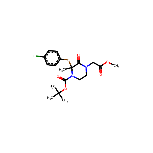 COC(=O)CN1CCN(C(=O)OC(C)(C)C)C(C)(Sc2ccc(Cl)cc2)C1=O